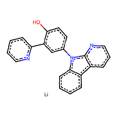 Oc1ccc(-n2c3ccccc3c3cccnc32)cc1-c1ccccn1.[Li]